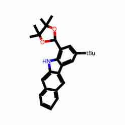 CC(C)(C)c1cc(C2OC(C)(C)C(C)(C)O2)c2[nH]c3cc4ccccc4cc3c2c1